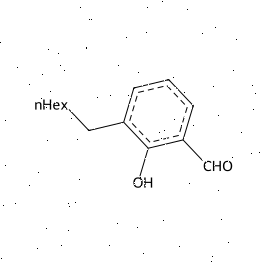 CCCCCCCc1cccc(C=O)c1O